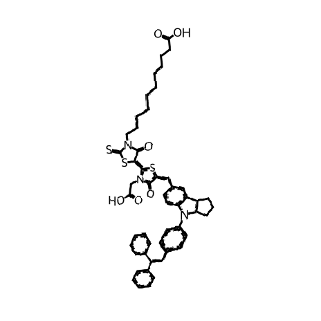 O=C(O)CCCCCCCCCCN1C(=O)/C(=c2\s/c(=C/c3ccc4c(c3)C3CCCC3N4c3ccc(C=C(c4ccccc4)c4ccccc4)cc3)c(=O)n2CC(=O)O)SC1=S